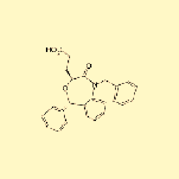 O=C(O)CC[C@@H]1O[C@@H](c2ccccc2)c2ccccc2N(Cc2ccccc2)C1=O